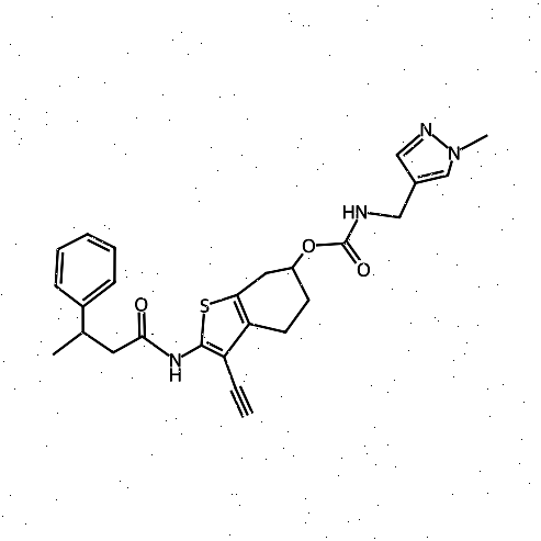 C#Cc1c(NC(=O)CC(C)c2ccccc2)sc2c1CCC(OC(=O)NCc1cnn(C)c1)C2